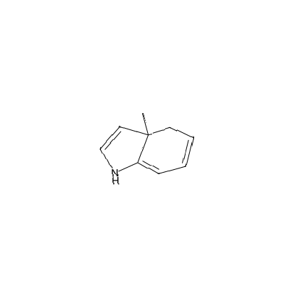 CC12C=CNC1=CC=CC2